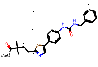 COC(=O)C(C)(C)CCc1ncc(-c2ccc(NC(=O)NCc3ccccc3)cc2)s1